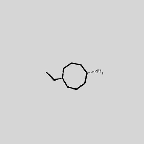 CC[C@H]1CCC[C@H](N)CCC1